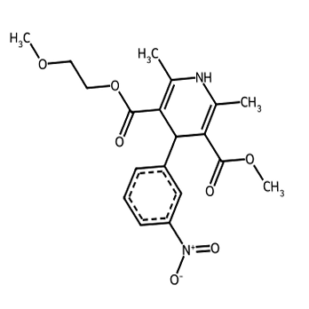 COCCOC(=O)C1=C(C)NC(C)=C(C(=O)OC)C1c1cccc([N+](=O)[O-])c1